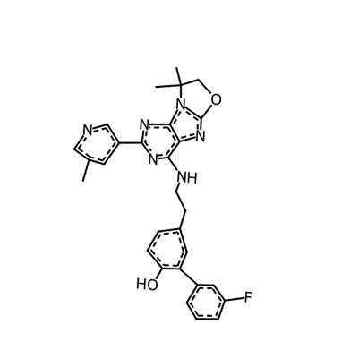 Cc1cncc(-c2nc(NCCc3ccc(O)c(-c4cccc(F)c4)c3)c3nc4n(c3n2)C(C)(C)CO4)c1